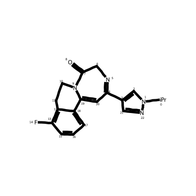 CC(C)n1cc(C2=NCC(=O)N3CCc4c(F)cccc4C3=C2)cn1